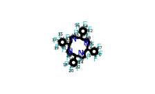 Fc1c(F)c(F)c(C2=C3C=CC(=N3)C(c3c(F)c(F)c(F)c(F)c3F)=C3C=CC(=N3)C(c3c(F)c(F)c(F)c(F)c3F)=C3C=CC(=N3)C(c3c(F)c(F)c(F)c(F)c3F)=C3C=CC2=N3)c(F)c1F